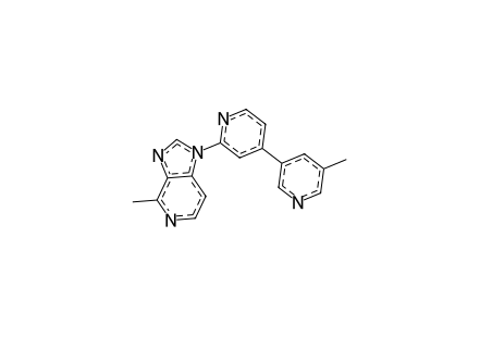 Cc1cncc(-c2ccnc(-n3cnc4c(C)nccc43)c2)c1